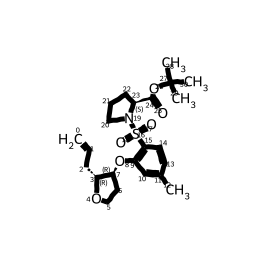 C=CC[C@H]1OCC[C@H]1Oc1cc(C)ccc1S(=O)(=O)N1CCC[C@H]1C(=O)OC(C)(C)C